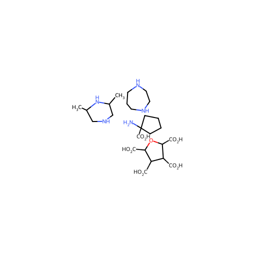 C1CNCCNC1.CC1CNCC(C)N1.NC1(C(=O)O)CCCC1.O=C(O)C1OC(C(=O)O)C(C(=O)O)C1C(=O)O